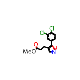 COC(=O)CCc1cnoc1-c1ccc(Cl)c(Cl)c1